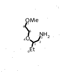 CCC(CN)OCCOC